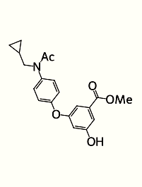 COC(=O)c1cc(O)cc(Oc2ccc(N(CC3CC3)C(C)=O)cc2)c1